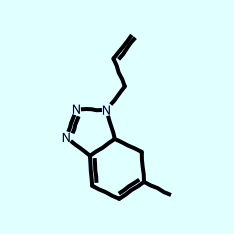 C=CCN1N=NC2=CC=C(C)CC21